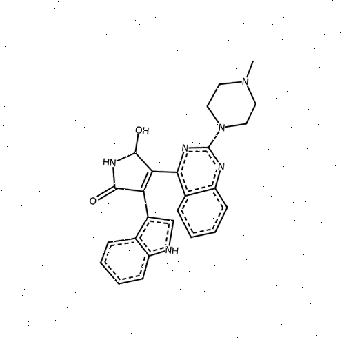 CN1CCN(c2nc(C3=C(c4c[nH]c5ccccc45)C(=O)NC3O)c3ccccc3n2)CC1